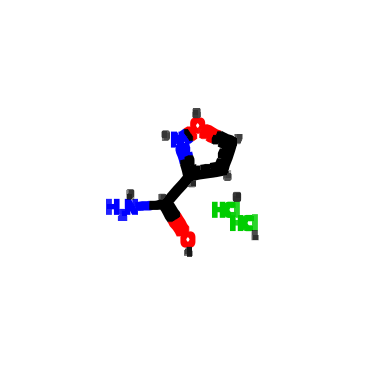 Cl.Cl.NC(=O)c1ccon1